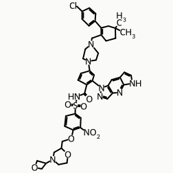 CC1(C)CCC(CN2CCN(c3ccc(C(=O)NS(=O)(=O)c4ccc(OCC5CN(C6COC6)CCO5)c([N+](=O)[O-])c4)c(-n4ncc5nc6[nH]ccc6cc54)c3)CC2)=C(c2ccc(Cl)cc2)C1